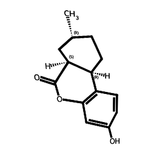 C[C@@H]1CC[C@H]2c3ccc(O)cc3OC(=O)[C@H]2C1